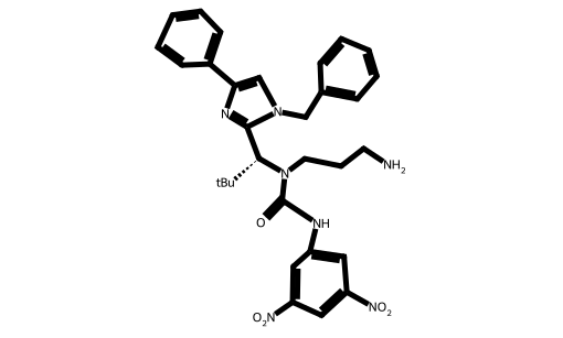 CC(C)(C)[C@H](c1nc(-c2ccccc2)cn1Cc1ccccc1)N(CCCN)C(=O)Nc1cc([N+](=O)[O-])cc([N+](=O)[O-])c1